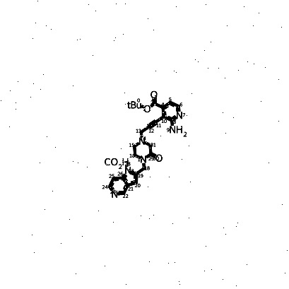 CC(C)(C)OC(=O)c1ccnc(N)c1C#CCN1CCN(Cc2cc3cnccc3n2C(=O)O)C(=O)C1